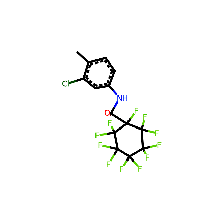 Cc1ccc(NC(=O)C2(F)C(F)(F)C(F)(F)C(F)(F)C(F)(F)C2(F)F)cc1Cl